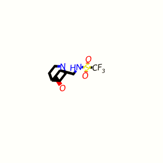 O=C1C2CCN(CC2)C1CNS(=O)(=O)C(F)(F)F